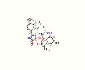 Cc1ccc(F)c(C(C)[C@@H](c2n[nH]c(=O)o2)N2CNc3cc(Cl)cc(C(C)O)c3S2(=O)=O)c1C